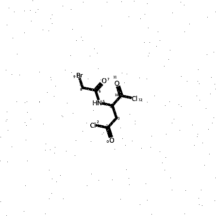 O=C(Cl)CC(NC(=O)CBr)C(=O)Cl